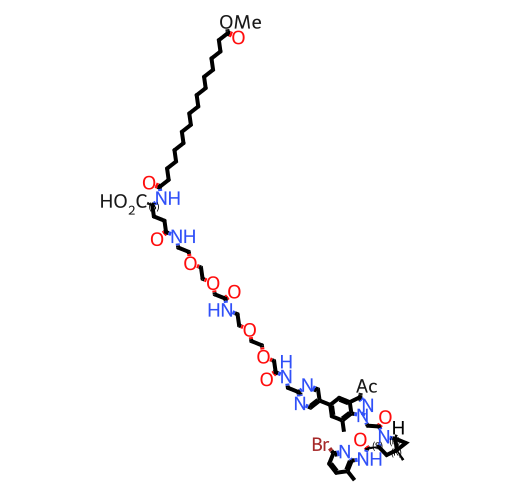 COC(=O)CCCCCCCCCCCCCCCCC(=O)N[C@@H](CCC(=O)NCCOCCOCC(=O)NCCOCCOCC(=O)NCc1ncc(-c2cc(C)c3c(c2)c(C(C)=O)nn3CC(=O)N2[C@H](C(=O)Nc3nc(Br)ccc3C)C[C@@]3(C)C[C@@H]23)cn1)C(=O)O